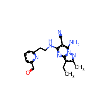 CCc1c(C)nn2c(N)c(C#N)c(NCCc3cccc(C=O)n3)nc12